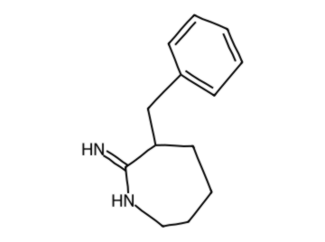 N=C1NCCCCC1Cc1ccccc1